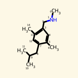 CNCc1cc(C)c(CC(C)C)cc1C